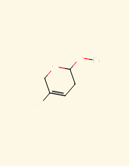 CCOC1CC=C(C)CO1